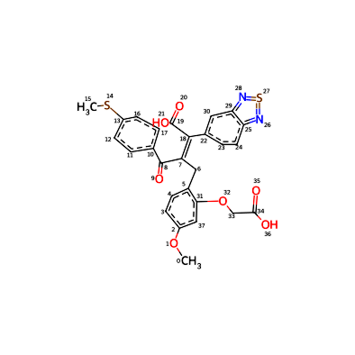 COc1ccc(CC(C(=O)c2ccc(SC)cc2)=C(C(=O)O)c2ccc3nsnc3c2)c(OCC(=O)O)c1